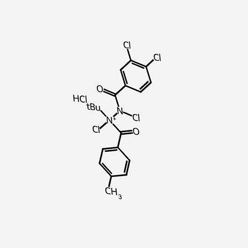 Cc1ccc(C(=O)[N+](Cl)(N(Cl)C(=O)c2ccc(Cl)c(Cl)c2)C(C)(C)C)cc1.Cl